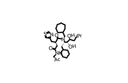 CC(=O)CNC(=O)C[C@@H](Cc1cscn1)C(=O)N(CC1CCCCCC1)[C@@H](CC1CCCCC1)[C@@H](O)[C@@H](O)CC(C)C